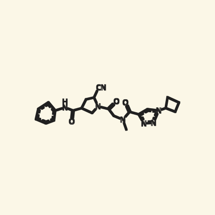 CN(CC(=O)N1CC(C(=O)Nc2ccccc2)CC1C#N)C(=O)c1cn(C2CCC2)nn1